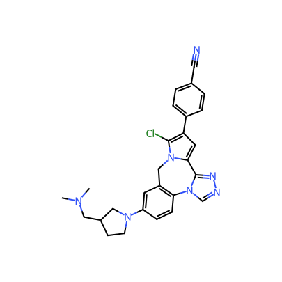 CN(C)CC1CCN(c2ccc3c(c2)Cn2c(cc(-c4ccc(C#N)cc4)c2Cl)-c2nncn2-3)C1